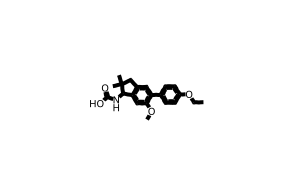 CCOc1ccc(-c2cc3c(cc2OC)C(NC(=O)O)C(C)(C)C3)cc1